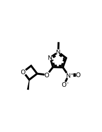 C[C@H]1OCC1Oc1nn(C)cc1[N+](=O)[O-]